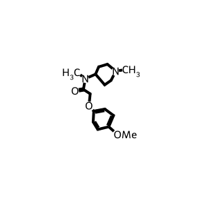 COc1ccc(OCC(=O)N(C)C2CCN(C)CC2)cc1